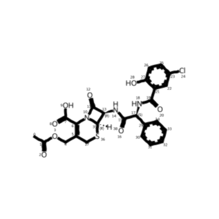 CC(=O)OCC1=C(C(=O)O)N2C(=O)[C@@H](NC(=O)[C@@H](NC(=O)c3cc(Cl)ccc3O)c3ccccc3)[C@H]2SC1